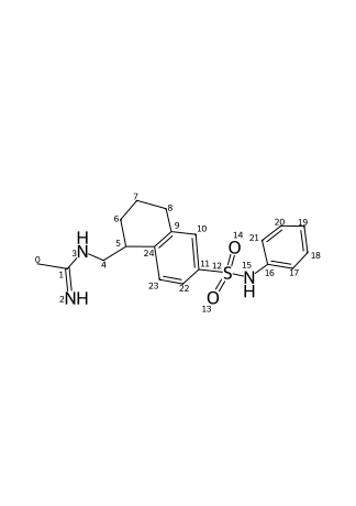 CC(=N)NCC1CCCc2cc(S(=O)(=O)Nc3ccccc3)ccc21